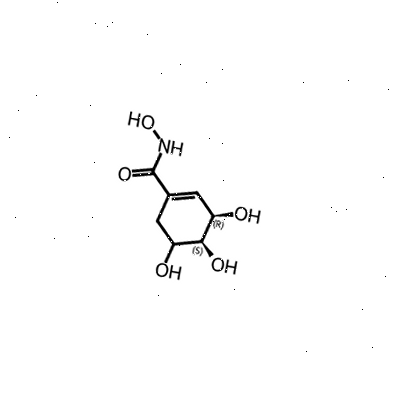 O=C(NO)C1=C[C@@H](O)[C@@H](O)C(O)C1